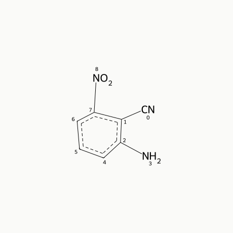 N#Cc1c(N)cccc1[N+](=O)[O-]